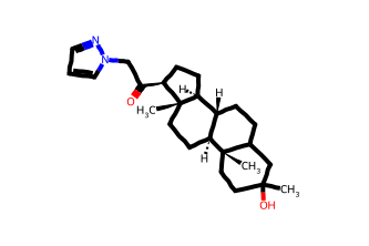 CC1(O)CC[C@@]2(C)C(CC[C@H]3[C@@H]4CC[C@H](C(=O)Cn5cccn5)[C@@]4(C)CC[C@@H]32)C1